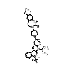 COc1ccc2c(c1)CCN(C1CCN(C(=O)Cn3cc(-c4ccccc4OC(F)(F)F)c(=O)n(C(C)C)c3=O)CC1)C(=O)N2